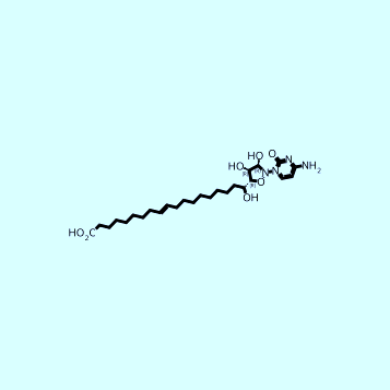 Nc1ccn(N2O[C@H](C(O)CCCCCCCCC=CCCCCCCCC(=O)O)[C@@H](O)[C@H]2O)c(=O)n1